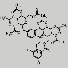 CC(=O)OC[C@H]1OC(Oc2ccc(C(=O)CCc3ccc(O)cc3O)c(OC3O[C@H](COC(C)=O)[C@@H](OC(C)=O)[C@H](OC(C)=O)[C@H]3OC(C)=O)c2)[C@H](OC(C)=O)[C@@H](OC(C)=O)[C@@H]1OC(C)=O